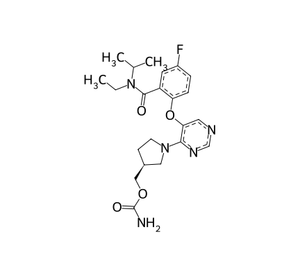 CCN(C(=O)c1cc(F)ccc1Oc1cncnc1N1CC[C@H](COC(N)=O)C1)C(C)C